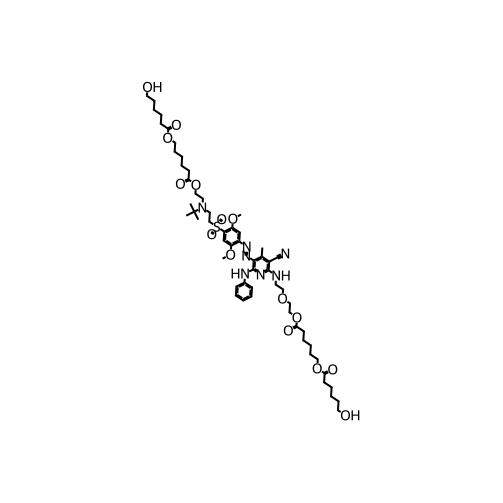 COc1cc(S(=O)(=O)CCN(CCOC(=O)CCCCCOC(=O)CCCCCO)C(C)(C)C)c(OC)cc1/N=N/c1c(Nc2ccccc2)nc(NCCOCCOC(=O)CCCCCOC(=O)CCCCCO)c(C#N)c1C